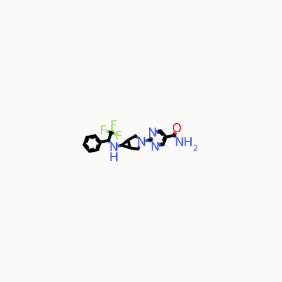 NC(=O)c1cnc(N2CC3C(C2)C3NC(c2ccccc2)C(F)(F)F)nc1